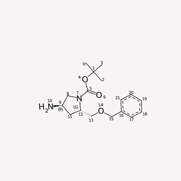 CC(C)(C)OC(=O)N1C[C@H](N)C[C@H]1COCc1ccccc1